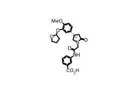 COc1ccc([C@@H]2CC(=O)N(CC(=O)Nc3cccc(C(=O)O)c3)C2)cc1OC1CCCO1